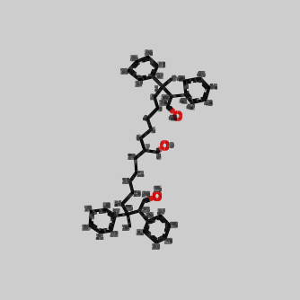 CC(CCCCCC(C=O)CCCCCC(C)(c1ccccc1)C(C=O)c1ccccc1)(c1ccccc1)C(C=O)c1ccccc1